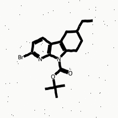 CCC1CCc2c(c3ccc(Br)nc3n2C(=O)OC(C)(C)C)C1